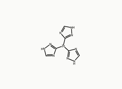 c1n[c]([Zn]([c]2nc[nH]n2)[c]2nc[nH]n2)n[nH]1